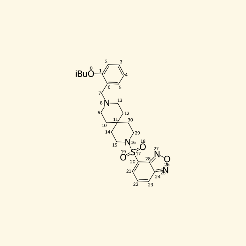 CC(C)COc1ccccc1CN1CCC2(CC1)CCN(S(=O)(=O)c1cccc3nonc13)CC2